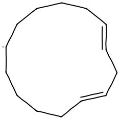 [CH]1CCCC/C=C/C/C=C/CCCC1